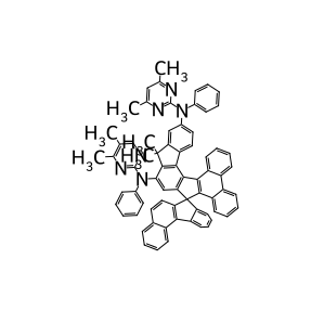 Cc1cc(C)nc(N(c2ccccc2)c2ccc3c(c2)C(C)(C)c2c(N(c4ccccc4)c4ncc(C)c(C)n4)cc4c(c2-3)-c2c(c3ccccc3c3ccccc23)C42c3ccccc3-c3c2ccc2ccccc32)n1